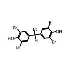 CCC(CC)(c1cc(Br)c(O)c(Br)c1)c1cc(Br)c(O)c(Br)c1